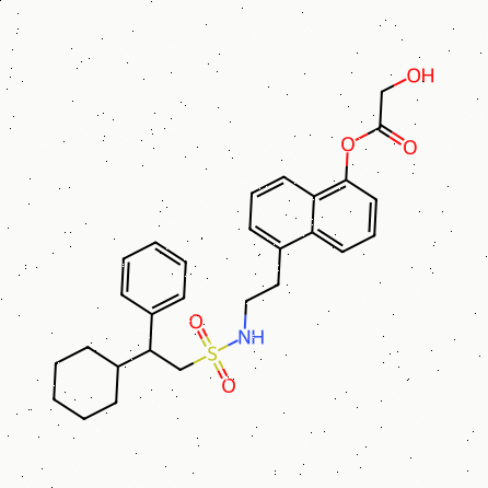 O=C(CO)Oc1cccc2c(CCNS(=O)(=O)CC(c3ccccc3)C3CCCCC3)cccc12